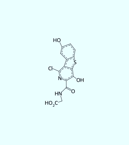 O=C(O)CNC(=O)c1nc(Cl)c2c(sc3ccc(O)cc32)c1O